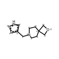 c1[nH]nnc1CN1CCC2(CC1)COC2